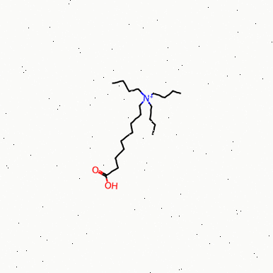 CCCC[N+](CCCC)(CCCC)CCCCCCCCC(=O)O